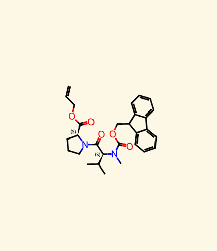 C=CCOC(=O)[C@@H]1CCCN1C(=O)[C@H](C(C)C)N(C)C(=O)OCC1c2ccccc2-c2ccccc21